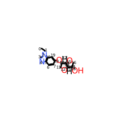 CCn1cnc2ccc(O[C@@H]3CO[C@H]4[C@@H]3OC[C@H]4O)cc21